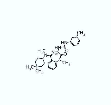 Cc1cccc(NC(=O)N[C@@H]2N=C(N(C)C3CCC(C)(C)CC3)c3ccccc3N(C)C2=O)c1